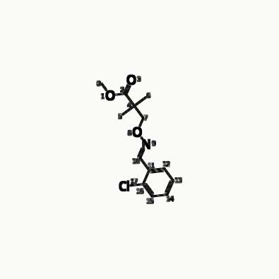 COC(=O)C(C)(C)CON=Cc1ccccc1Cl